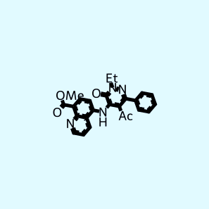 CCn1nc(-c2ccccc2)c(C(C)=O)c(Nc2ccc(C(=O)OC)c3ncccc23)c1=O